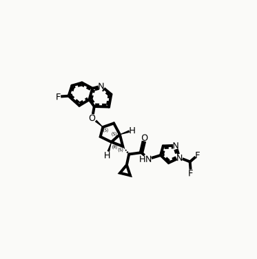 O=C(Nc1cnn(C(F)F)c1)C(C1CC1)[C@@H]1[C@@H]2C[C@@H](Oc3ccnc4ccc(F)cc34)C[C@@H]21